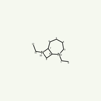 CCN1CCCCC2C1CN2CC